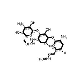 N[C@@H]1[C@@H](O)[C@@H](O[C@H]2[C@H](NO)C[C@H](N)C(O[C@H]3O[C@H](CONO)[C@@H](O)C[C@H]3N)[C@@H]2O)O[C@H](CO)[C@H]1O